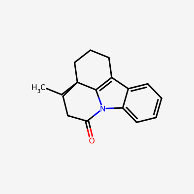 CCC12CCCc3c1n(c1ccccc31)C(=O)CC2